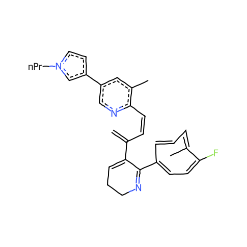 C=C(/C=C\c1ncc(-c2ccn(CCC)c2)cc1C)C1=CCCN=C1C1=C/C=C(F)\C(C)=C\C=C\1